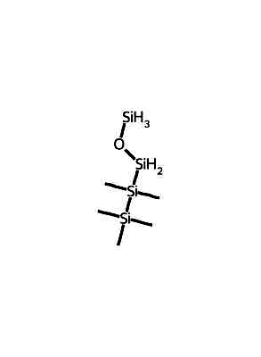 C[Si](C)(C)[Si](C)(C)[SiH2]O[SiH3]